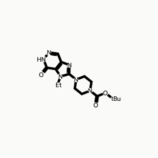 CCn1c(N2CCN(C(=O)OC(C)(C)C)CC2)nc2cn[nH]c(=O)c21